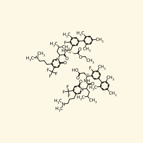 CCOC(=O)C[C@H](NC(=O)C(CC(C)C)n1cc(CCCN(C)C)c(C(F)(F)F)cc1=O)c1cc(-c2c(C)cc(C)cc2C)cc(C)c1F.Cc1cc(C)c(-c2cc(C)c(F)c([C@H](CC(=O)O)NC(=O)C(CC(C)C)n3cc(CCCN(C)C)c(C(F)(F)F)cc3=O)c2)c(C)c1